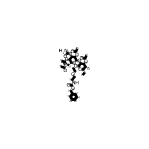 CC[C@@H]1O[C@H](OCCOCCNC(=O)OCc2ccccc2)[C@@H](O[C@H]2O[C@H](COC(C)=O)[C@@H](OC(C)=O)[C@@H](OC(N)=O)[C@@H]2OC(C)=O)[C@@H](OC(C)=O)[C@@H]1C